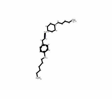 CCCCCCOc1ccc([CH]/C=C/[C@H]2CC[C@H](CCCCC)CC2)cc1